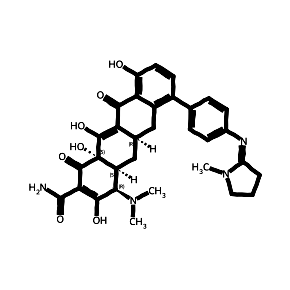 CN1CCCC1=Nc1ccc(-c2ccc(O)c3c2C[C@H]2C[C@H]4[C@@H](N(C)C)C(O)=C(C(N)=O)C(=O)[C@@]4(O)C(O)=C2C3=O)cc1